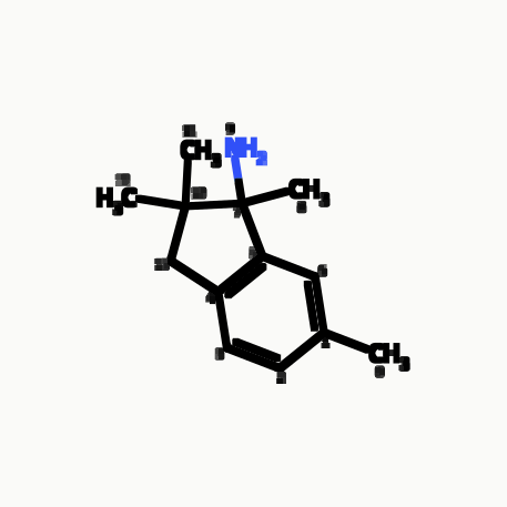 Cc1ccc2c(c1)C(C)(N)C(C)(C)C2